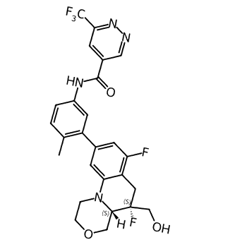 Cc1ccc(NC(=O)c2cnnc(C(F)(F)F)c2)cc1-c1cc(F)c2c(c1)N1CCOC[C@H]1[C@](F)(CO)C2